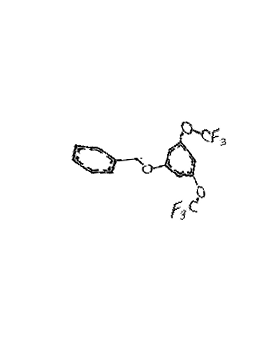 FC(F)(F)Oc1cc(O[CH]c2ccccc2)cc(OC(F)(F)F)c1